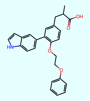 CC(Cc1ccc(OCCOc2ccccc2)c(-c2ccc3[nH]ccc3c2)c1)C(=O)O